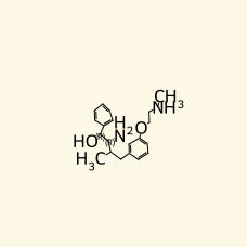 CNCCOc1cccc(CC(C)[C@@H](N)[C@H](O)c2ccccc2)c1